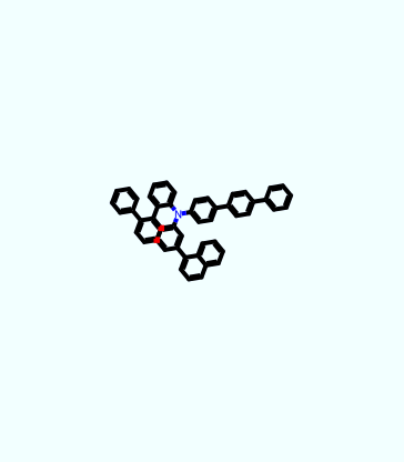 c1ccc(-c2ccc(-c3ccc(N(c4cccc(-c5cccc6ccccc56)c4)c4ccccc4-c4ccccc4-c4ccccc4)cc3)cc2)cc1